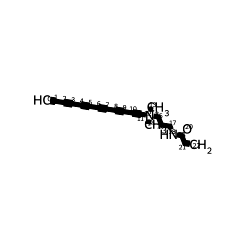 C#CC#CC#CC#CC#CC#C[N+](C)(C)CCCNC(=O)C=C